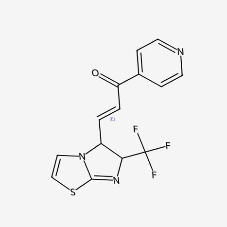 O=C(/C=C/C1C(C(F)(F)F)N=C2SC=CN21)c1ccncc1